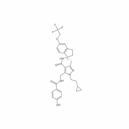 O=C(NCc1c2c(nn1CCC1CC1)C[C@]1(CCc3cc(OCC(F)(F)F)ccc31)NC2=O)c1ccc(O)cc1